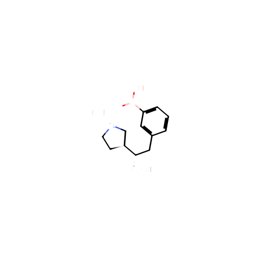 Cl.O=C(O)[C@@H](Cc1cccc(B(O)O)c1)[C@H]1CCNC1